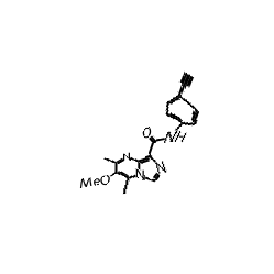 C#Cc1ccc(NC(=O)c2ncn3c(C)c(OC)c(C)nc23)cc1